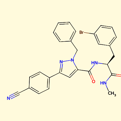 CNC(=O)[C@H](Cc1cccc(Br)c1)NC(=O)c1cc(-c2ccc(C#N)cc2)nn1Cc1ccccc1